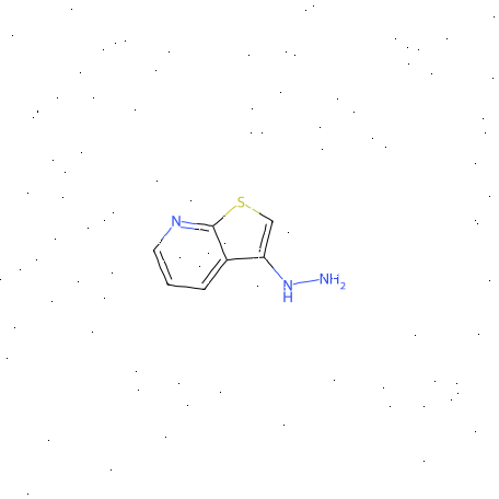 NNc1csc2ncccc12